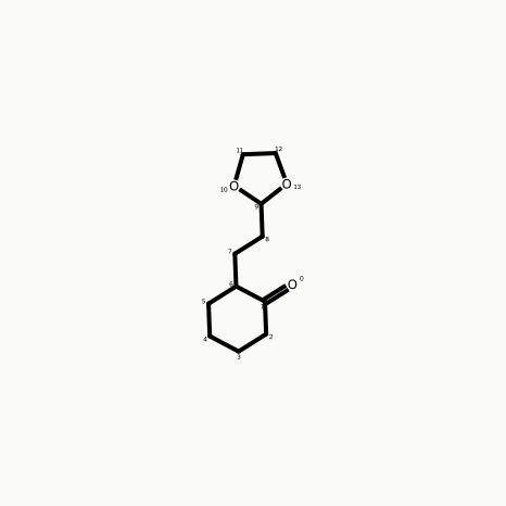 O=C1CCCCC1CCC1OCCO1